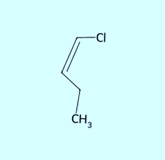 CC/C=C\Cl